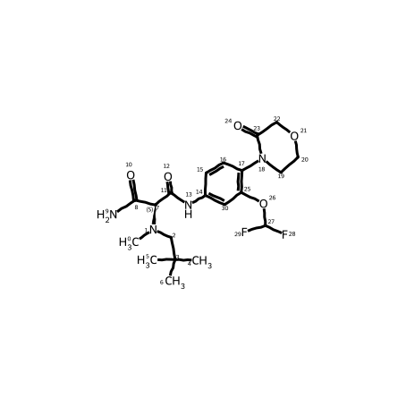 CN(CC(C)(C)C)[C@@H](C(N)=O)C(=O)Nc1ccc(N2CCOCC2=O)c(OC(F)F)c1